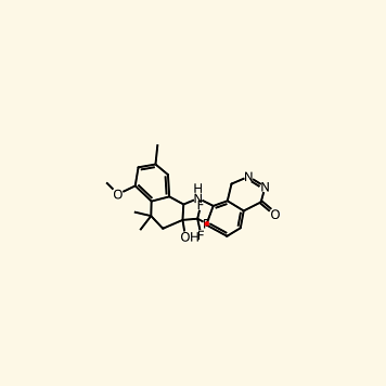 COc1cc(C)cc2c1C(C)(C)CC(O)(C(F)(F)F)C2Nc1cccc2c1CN=NC2=O